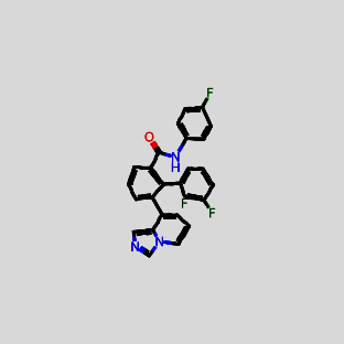 O=C(Nc1ccc(F)cc1)c1cccc(-c2cccn3cncc23)c1-c1cccc(F)c1F